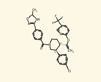 C=C(Oc1ccc(C(F)(F)F)cn1)[C@H]1CCN(C(=O)c2ccc(C3=NOC(C)N3)cc2)C[C@@H]1c1ccc(Cl)cc1